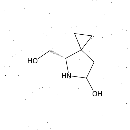 OC[C@H]1NC(O)CC12CC2